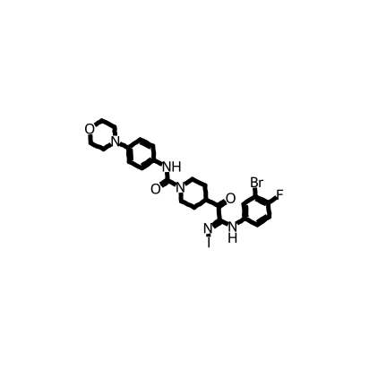 O=C(/C(=N/I)Nc1ccc(F)c(Br)c1)C1CCN(C(=O)Nc2ccc(N3CCOCC3)cc2)CC1